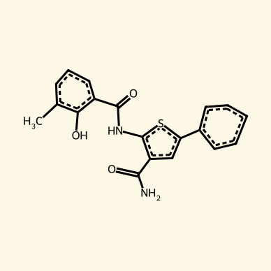 Cc1cccc(C(=O)Nc2sc(-c3ccccc3)cc2C(N)=O)c1O